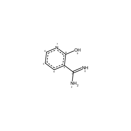 N=C(N)c1cccnc1O